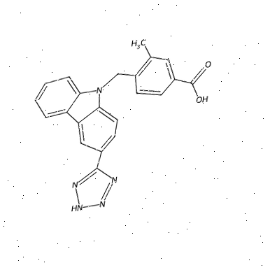 Cc1cc(C(=O)O)ccc1Cn1c2ccccc2c2cc(-c3nn[nH]n3)ccc21